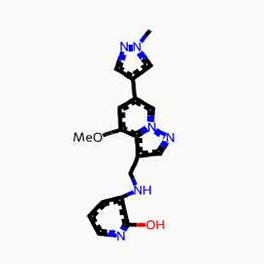 COc1cc(-c2cnn(C)c2)cn2ncc(CNc3cccnc3O)c12